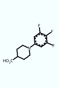 O=C(O)C1CCN(c2cc(F)c(F)c(F)c2)CC1